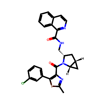 Cc1nc(C(=O)N2[C@H](CNC(=O)c3nccc4ccccc34)C[C@@H]3C[C@@H]32)c(-c2cccc(Cl)c2)s1